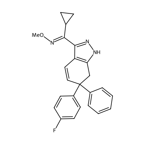 CON=C(c1n[nH]c2c1C=CC(c1ccccc1)(c1ccc(F)cc1)C2)C1CC1